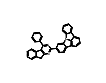 c1ccc(-c2nc(-c3ccc4c5cccc6c7ccccc7n(c4c3)c65)nc3c2-c2ccccc2C3)cc1